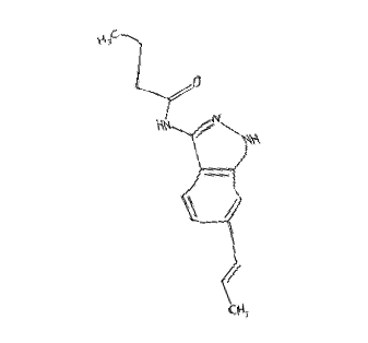 CC=Cc1ccc2c(NC(=O)CCC)n[nH]c2c1